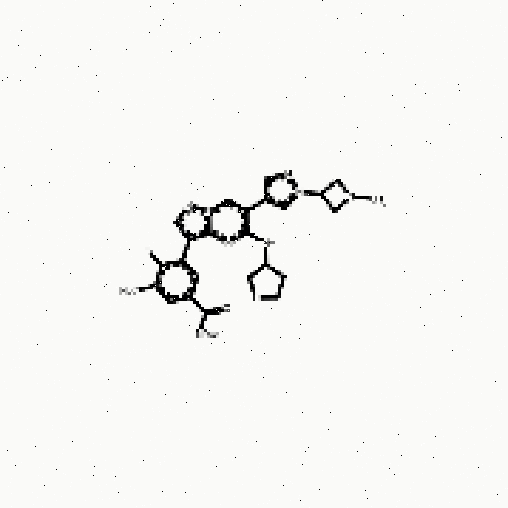 CNC(=O)c1cc(C)c(F)c(-c2cnn3cc(-c4cnn(C5CN(C)C5)c4)c(NC4CCOC4)nc23)c1